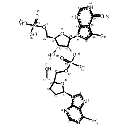 Nc1ncnc2c1ncn2[C@H]1CC[C@@](CO)(COP(=O)(O)O[C@@H]2[C@H](O)[C@@H](COP(=O)(O)O)O[C@H]2n2cc(F)c3c(=O)[nH]cnc32)O1